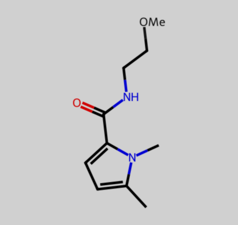 COCCNC(=O)c1ccc(C)n1C